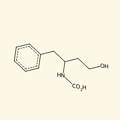 O=C(O)NC(CCO)Cc1ccccc1